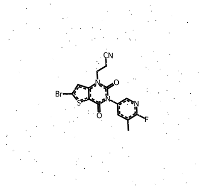 Cc1cc(-n2c(=O)c3sc(Br)cc3n(CCC#N)c2=O)cnc1F